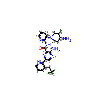 Nc1ncc(-c2ncccc2CC(F)(F)F)nc1C(=O)Nc1ncccc1N1CCC(N)C(F)C1